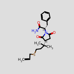 C=CCSCCC(C)(C)[C@H]1CC(=O)N([C@@H](Cc2ccccc2)C(N)=O)C1=O